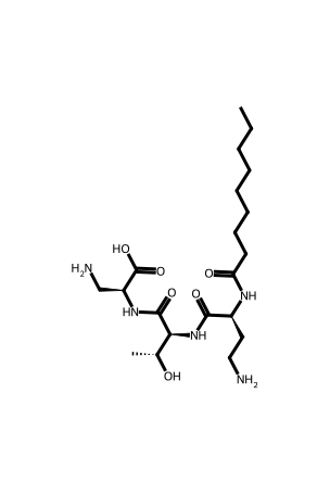 CCCCCCCCC(=O)N[C@@H](CCN)C(=O)N[C@H](C(=O)N[C@@H](CN)C(=O)O)[C@@H](C)O